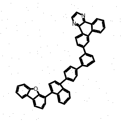 c1cc(-c2ccc(-c3ccc(-c4cccc5c4oc4ccccc45)c4ccccc34)cc2)cc(-c2ccc3c(c2)c2ccccc2c2nccnc32)c1